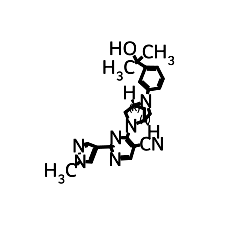 Cn1cc(-c2ncc(C#N)c(N3C[C@H]4C[C@H]3CN4c3cccc(C(C)(C)O)c3)n2)cn1